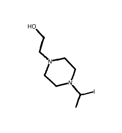 CC(I)N1CCN(CCO)CC1